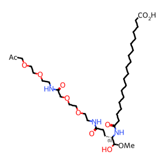 COC(O)[C@H](CCC(=O)NCCOCCOCC(=O)NCCOCCOCC(C)=O)NC(=O)CCCCCCCCCCCCCCCCCCC(=O)O